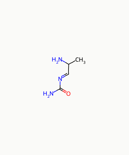 CC(N)/C=N/C(N)=O